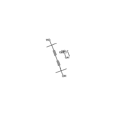 CC(=O)O.CC(C)(O)C#CC#CC(C)(C)O.O=CO